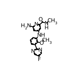 CNC(=O)c1cc(Nc2cccc(-c3ncc(F)cn3)c2OC)cc(N)n1